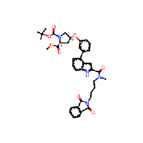 COC(=O)[C@@H]1C[C@H](Oc2cccc(-c3cccc4[nH]c(C(=O)N(C)CCCCN5C(=O)c6ccccc6C5=O)cc34)c2)CN1C(=O)OC(C)(C)C